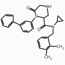 Cc1cccc(CN(C(=O)C2CNCC(=O)N2c2cccc(-c3ccccc3)c2)C2CC2)c1C